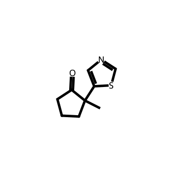 CC1(c2cncs2)CCCC1=O